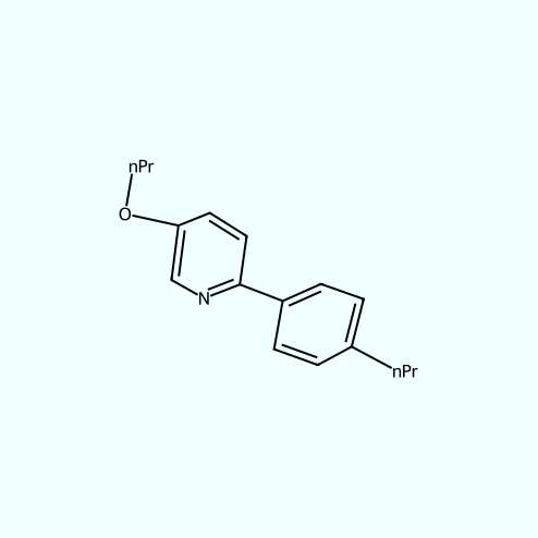 CCCOc1ccc(-c2ccc(CCC)cc2)nc1